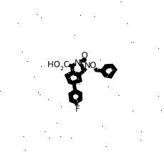 O=C(O)C1c2ccc(-c3ccc(F)cc3)cc2C2CN1C(=O)N2OCc1ccccc1